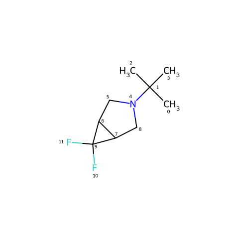 CC(C)(C)N1CC2C(C1)C2(F)F